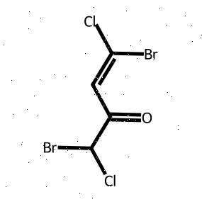 O=C(C=C(Cl)Br)C(Cl)Br